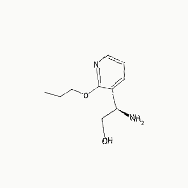 CCCOc1ncccc1[C@@H](N)CO